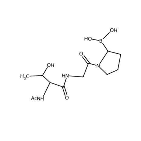 CC(=O)NC(C(=O)NCC(=O)N1CCCC1B(O)O)C(C)O